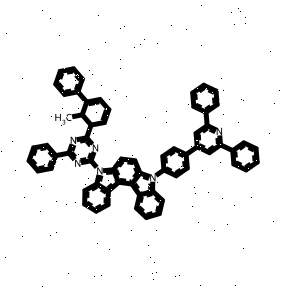 CC1C(c2ccccc2)=CC=CC1c1nc(-c2ccccc2)nc(-n2c3ccccc3c3c4c5ccccc5n(-c5ccc(-c6cc(-c7ccccc7)nc(-c7ccccc7)c6)cc5)c4ccc32)n1